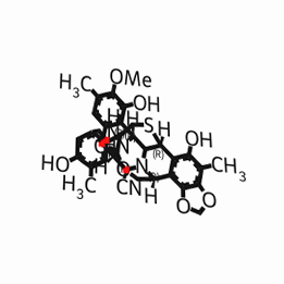 COc1c(C)cc2c(c1O)[C@H]1N[C@@H](C2)[C@H](C#N)N2C1[C@@H]1SC[C@]3(NCCc4cc(O)c(C)cc43)C(=O)OC[C@H]2c2c3c(c(C)c(O)c21)OCO3